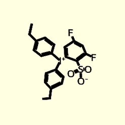 CCc1ccc([I+]c2ccc(CC)cc2)cc1.O=S(=O)([O-])c1ccc(F)cc1F